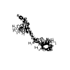 CN[C@H](C)C(=O)N[C@@H](C(=O)N1CCC[C@@H]1C1=NC(C(=O)c2ccc(F)cc2)CS1)C1CCN(CCOCCOCCC(=O)N(C)CCn2nc3c(c2OC)-c2cnc(N)c(c2)N2CCC[C@@H]2c2cc(F)ccc2C(=O)N(C)C3)CC1